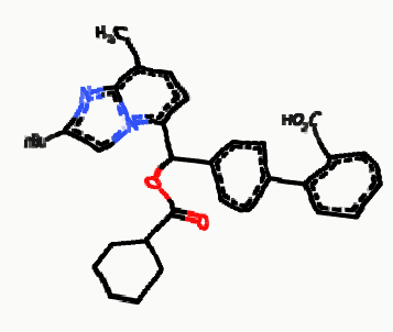 CCCCc1cn2c(C(OC(=O)C3CCCCC3)c3ccc(-c4ccccc4C(=O)O)cc3)ccc(C)c2n1